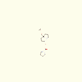 CC(C)OCC12CCCN1[C@@H](COC(=O)N1CCCC1)CC2